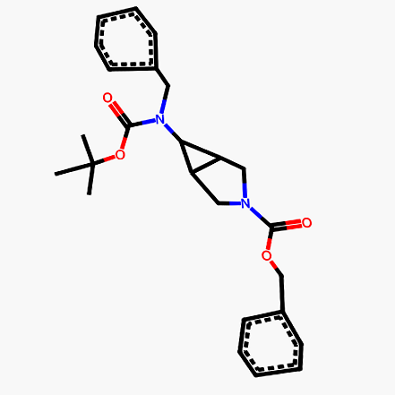 CC(C)(C)OC(=O)N(Cc1ccccc1)C1C2CN(C(=O)OCc3ccccc3)CC21